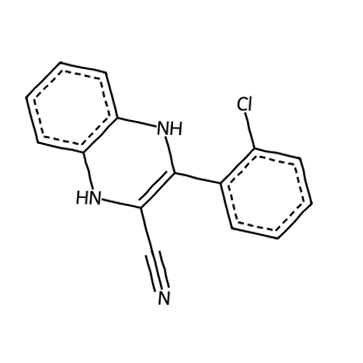 N#CC1=C(c2ccccc2Cl)Nc2ccccc2N1